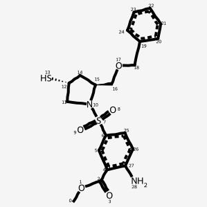 COC(=O)c1cc(S(=O)(=O)N2C[C@H](S)C[C@H]2COCc2ccccc2)ccc1N